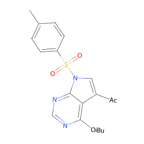 CC(=O)c1cn(S(=O)(=O)c2ccc(C)cc2)c2ncnc(OCC(C)C)c12